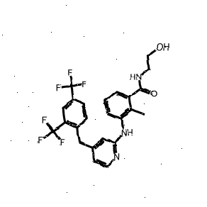 Cc1c(Nc2cc(Cc3ccc(C(F)(F)F)cc3C(F)(F)F)ccn2)cccc1C(=O)NCCO